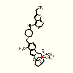 Cc1c(CN2CCC(Nc3ncnc4sc(CC(F)(F)F)cc34)CC2)ccc2c1cc(C#N)n2CC(C)N1C2CCC1CN([S+](C)[O-])C2